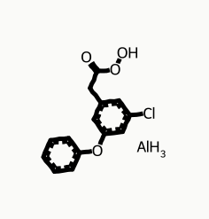 O=C(Cc1cc(Cl)cc(Oc2ccccc2)c1)OO.[AlH3]